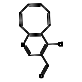 O=Cc1cnc2c(c1Cl)\C=C/C=C\C=C/2